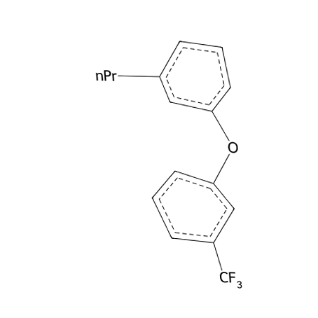 CCCc1cccc(Oc2cccc(C(F)(F)F)c2)c1